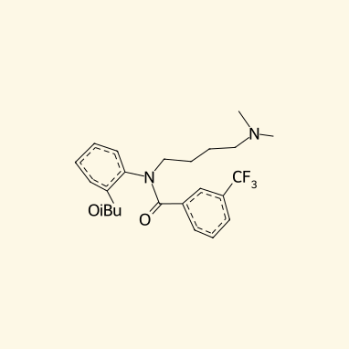 CC(C)COc1ccccc1N(CCCCN(C)C)C(=O)c1cccc(C(F)(F)F)c1